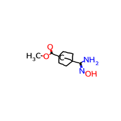 COC(=O)C12CCC(/C(N)=N/O)(CC1)CC2